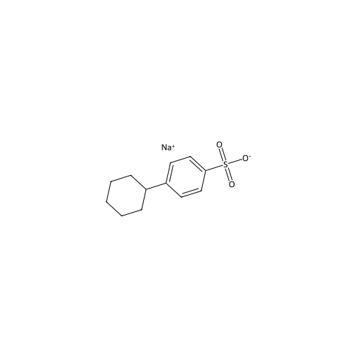 O=S(=O)([O-])c1ccc(C2CCCCC2)cc1.[Na+]